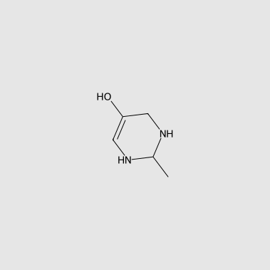 CC1NC=C(O)CN1